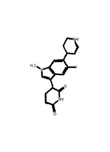 Cn1cc(C2CCC(=O)NC2=O)c2cc(F)c(C3CCNCC3)cc21